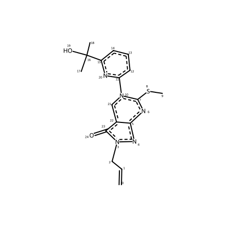 C=CCn1nc2nc(SC)n(-c3cccc(C(C)(C)O)n3)cc-2c1=O